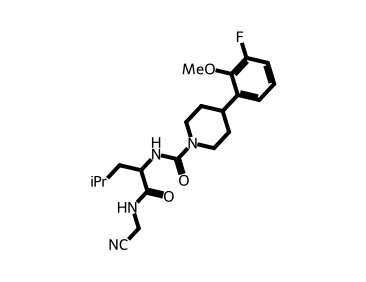 COc1c(F)cccc1C1CCN(C(=O)NC(CC(C)C)C(=O)NCC#N)CC1